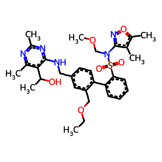 CCOCc1cc(CNc2nc(C)nc(C)c2C(C)O)ccc1-c1ccccc1S(=O)(=O)N(COC)c1noc(C)c1C